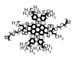 CCCC(C(=O)OCCOCC1CO1)N1C(=O)c2cc(Oc3ccc(C(C)(C)C)cc3)c3c4c(Oc5ccc(C(C)(C)C)cc5)cc5c6c(cc(Oc7ccc(C(C)(C)C)cc7)c(c7c(Oc8ccc(C(C)(C)C)cc8)cc(c2c37)C1=O)c64)C(=O)N(C(CCC)C(=O)OCCOC[C@H]1CO1)C5=O